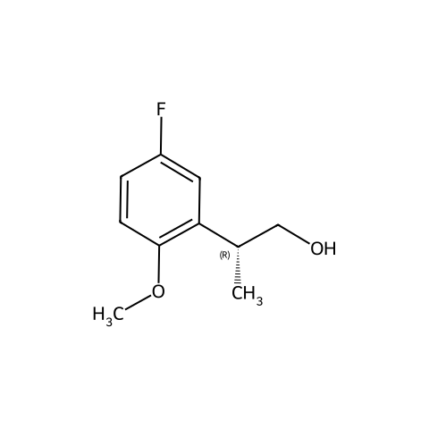 COc1ccc(F)cc1[C@@H](C)CO